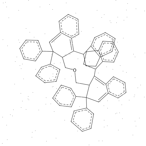 C1=c2ccccc2=C(C2CCc3ccccc32)C(COCC2C(C3CCc4ccccc43)=c3ccccc3=CC2(c2ccccc2)c2ccccc2)C1(c1ccccc1)c1ccccc1